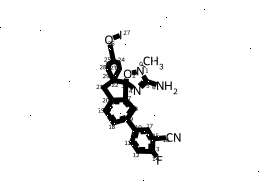 CN1OC2(N=C1N)c1cc(-c3ccc(F)c(C#N)c3)ccc1CC21CCC(OI)CC1